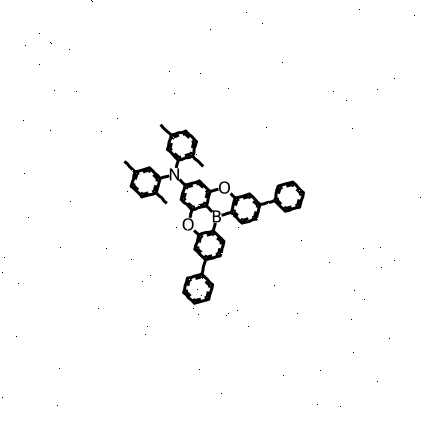 Cc1ccc(C)c(N(c2cc3c4c(c2)Oc2cc(-c5ccccc5)ccc2B4c2ccc(-c4ccccc4)cc2O3)c2cc(C)ccc2C)c1